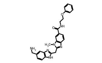 Cn1c(Cc2nc3cc(CN)ccc3[nH]2)nc2ccc(C(=O)NCCOc3ccccc3)cc21